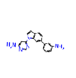 Nc1cccc(-c2ccc3ccn(-c4cc(N)ncn4)c3c2)c1